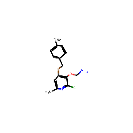 COc1ccc(CSc2cc(C)nc(Cl)c2OCN)cc1